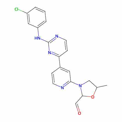 CC1CN(c2cc(-c3ccnc(Nc4cccc(Cl)c4)n3)ccn2)C(C=O)O1